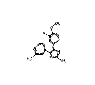 COc1ncc(-c2nc(N)[nH]c2-c2ccnc(C)c2)cc1F